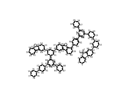 CC1(C)c2ccccc2-c2ccc(-c3cccc(-c4cccc(-c5nc(-c6ccccc6)nc(-c6ccc(-c7cccc8c7oc7ccc(-c9cc(-c%10ccc%11oc%12ccccc%12c%11c%10)cc(-c%10cc(-c%11ccc(-c%12ccccc%12)cc%11)nc(-c%11ccccc%11)n%10)c9)cc78)cc6)n5)c4)c3)cc21